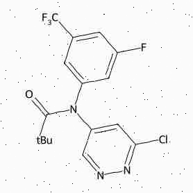 CC(C)(C)C(=O)N(c1cc(F)cc(C(F)(F)F)c1)c1cnnc(Cl)c1